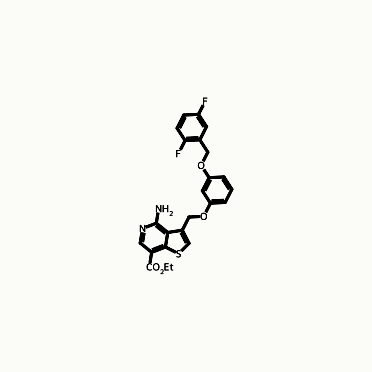 CCOC(=O)c1cnc(N)c2c(COc3cccc(OCc4cc(F)ccc4F)c3)csc12